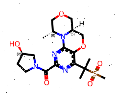 C[C@@H]1COC[C@H]2COc3c(nc(C(=O)N4CC[C@@H](O)C4)nc3C(C)(C)S(C)(=O)=O)N21